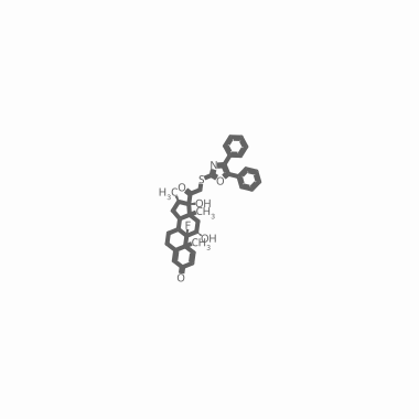 C[C@@H]1CC2C3CCC4=CC(=O)C=CC4(C)[C@@]3(F)[C@@H](O)CC2(C)[C@@]1(O)C(=O)CSc1nc(-c2ccccc2)c(-c2ccccc2)o1